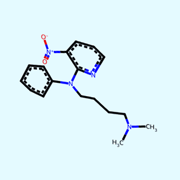 CN(C)CCCCN(c1ccccc1)c1ncccc1[N+](=O)[O-]